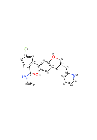 CSNC(=O)c1ccc(F)cc1-c1ccc2c(c1)OC[C@H](Cc1ccccn1)C2